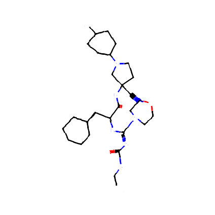 CCNC(=O)/N=C(\NC(CC1CCCCC1)C(=O)NC1(C#N)CCN(C2CCC(C)CC2)C1)N1CCOCC1